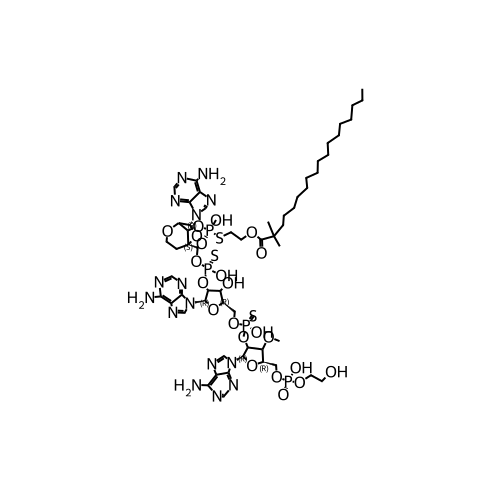 CCCCCCCCCCCCCCCCC(C)(C)C(=O)OCCSP(=O)(O)OC1C2OCC[C@@]1(COP(O)(=S)OC1C(O)[C@@H](COP(O)(=S)OC3C(OC)[C@@H](COP(=O)(O)OCCO)O[C@H]3n3cnc4c(N)ncnc43)O[C@H]1n1cnc3c(N)ncnc31)O[C@H]2n1cnc2c(N)ncnc21